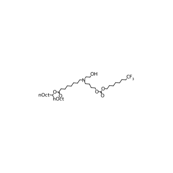 CCCCCCCCC(CCCCCCCC)OC(=O)CCCCCCCN(CCO)CCCCOC(=O)OCCCCCCCC(F)(F)F